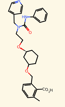 Cc1cccc(COC2CCC[C@H](OCCN(Cc3ccncc3)C(=O)Nc3ccccc3)C2)c1C(=O)O